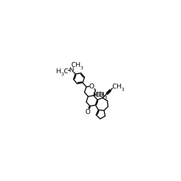 CC#CC1(O)CCC2CCC=C2C2=C1C1(C)COC(c3ccc(N(C)C)cc3)CC1CC2=O